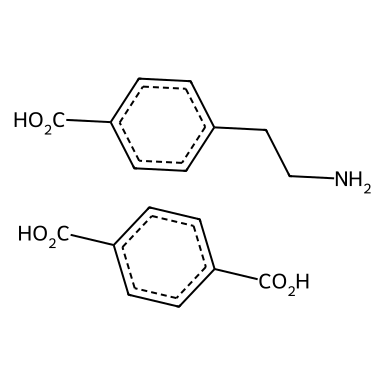 NCCc1ccc(C(=O)O)cc1.O=C(O)c1ccc(C(=O)O)cc1